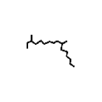 [CH2]CC(C)CCCCCCC(C)CCCCCC